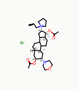 C=CC[N+]1([C@H]2CC3C4CC[C@H]5C[C@H](OC(C)=O)[C@@H](N6CCOCC6)C[C@]5(C)C4CC[C@]3(C)[C@H]2OC(C)=O)CCCC1.[Br-]